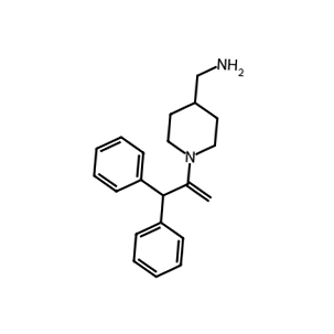 C=C(C(c1ccccc1)c1ccccc1)N1CCC(CN)CC1